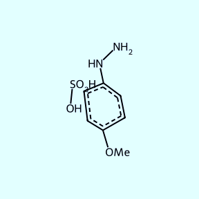 COc1ccc(NN)cc1.O=S(=O)(O)O